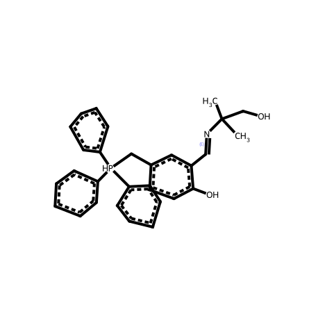 CC(C)(CO)/N=C/c1cc(C[PH](c2ccccc2)(c2ccccc2)c2ccccc2)ccc1O